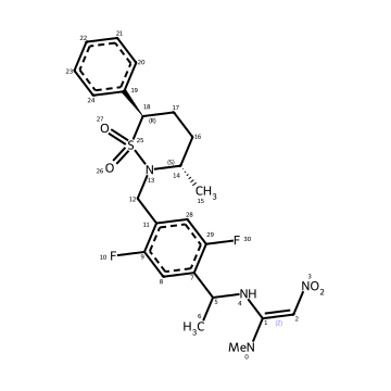 CN/C(=C/[N+](=O)[O-])NC(C)c1cc(F)c(CN2[C@@H](C)CC[C@H](c3ccccc3)S2(=O)=O)cc1F